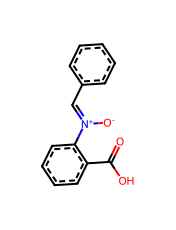 O=C(O)c1ccccc1[N+]([O-])=Cc1ccccc1